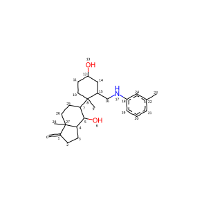 C=C1CCC2C(O)C(C3(C)CCC(O)CC3CNc3cccc(C)c3)CCC12C